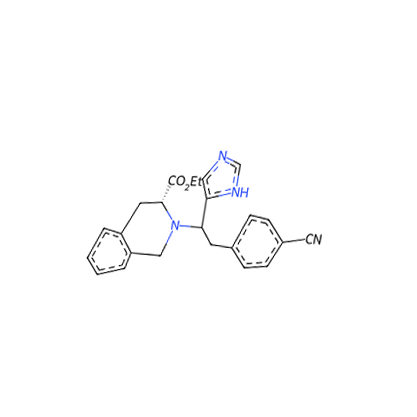 CCOC(=O)[C@H]1Cc2ccccc2CN1C(Cc1ccc(C#N)cc1)c1cnc[nH]1